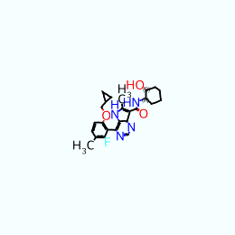 Cc1ccc(OCC2CC2)c(-c2ncnc3c(C(=O)N[C@@H]4CCCC[C@H]4O)c(C)[nH]c23)c1F